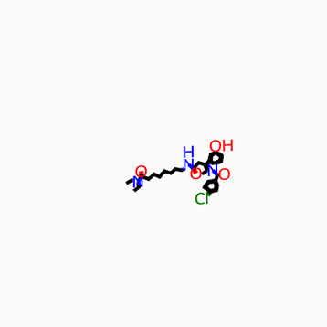 CCN(CC)C(=O)CCCCCCCNC(=O)Cc1c(C)n(C(=O)c2ccc(Cl)cc2)c2ccc(O)cc12